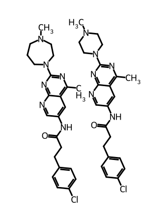 Cc1nc(N2CCCN(C)CC2)nc2ncc(NC(=O)CCc3ccc(Cl)cc3)cc12.Cc1nc(N2CCN(C)CC2)nc2ncc(NC(=O)CCc3ccc(Cl)cc3)cc12